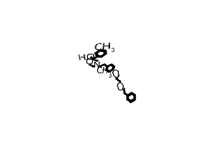 Cc1cccc(C2(O)CN(C(C)Cc3ccc(OCCOCCc4ccccc4)cc3)CCO2)c1